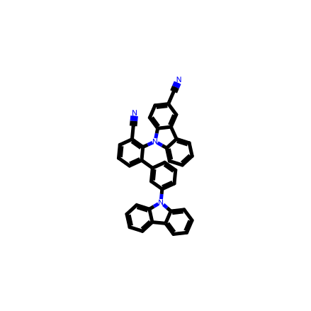 N#Cc1ccc2c(c1)c1ccccc1n2-c1c(C#N)cccc1-c1cccc(-n2c3ccccc3c3ccccc32)c1